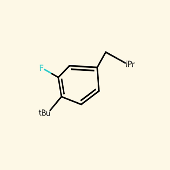 CC(C)Cc1ccc(C(C)(C)C)c(F)c1